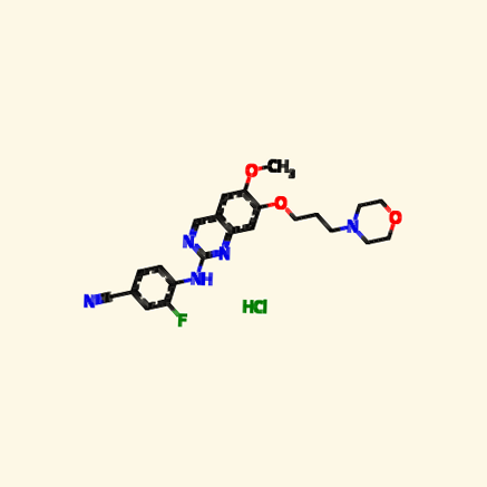 COc1cc2cnc(Nc3ccc(C#N)cc3F)nc2cc1OCCCN1CCOCC1.Cl